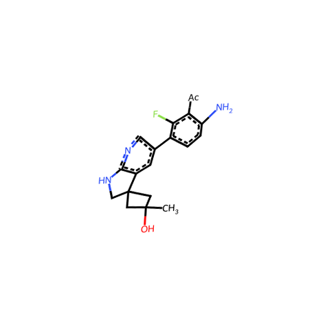 CC(=O)c1c(N)ccc(-c2cnc3c(c2)C2(CN3)CC(C)(O)C2)c1F